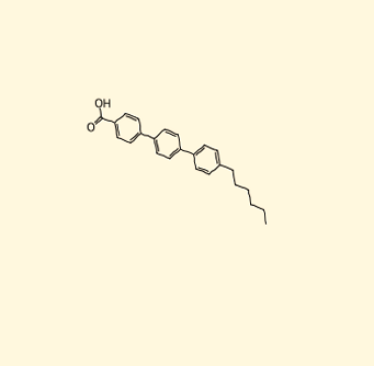 CCCCCCc1ccc(-c2ccc(-c3ccc(C(=O)O)cc3)cc2)cc1